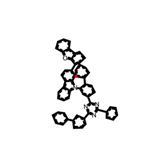 c1ccc(-c2cccc(-c3nc(-c4ccccc4)nc(-c4ccc(-c5ccccc5)c(-n5c6ccccc6c6ccc(-c7cccc8c7oc7ccccc78)cc65)c4)n3)c2)cc1